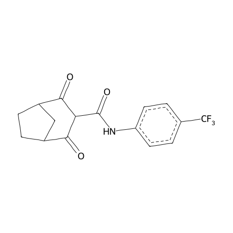 O=C(Nc1ccc(C(F)(F)F)cc1)C1C(=O)C2CCC(C2)C1=O